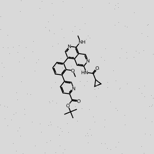 CNc1ncc(-c2cccc(-c3ccc(C(=O)OC(C)(C)C)nc3)c2OC)c2cc(NC(=O)C3CC3)ncc12